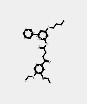 CCCCOc1cc(NC(=O)CCC(=O)c2ccc(OCC)c(OCC)c2)nc(-c2ccccc2)c1